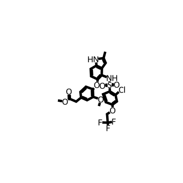 COC(=O)Cc1ccc(Oc2ccc3[nH]c(C)cc3c2NS(=O)(=O)c2ccc(OCC(F)(F)F)cc2Cl)c(OC)c1